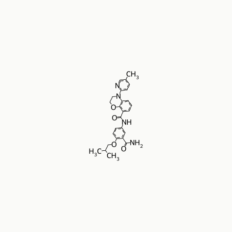 Cc1ccc(N2CCOc3c(C(=O)Nc4ccc(OCC(C)C)c(C(N)=O)c4)cccc32)nc1